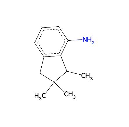 CC1c2c(N)cccc2CC1(C)C